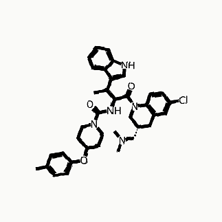 Cc1ccc(OC2CCN(C(=O)NC(C(=O)N3C[C@@H](CN(C)C)Cc4cc(Cl)ccc43)C(C)c3c[nH]c4ccccc34)CC2)cc1